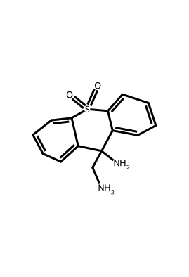 NCC1(N)c2ccccc2S(=O)(=O)c2ccccc21